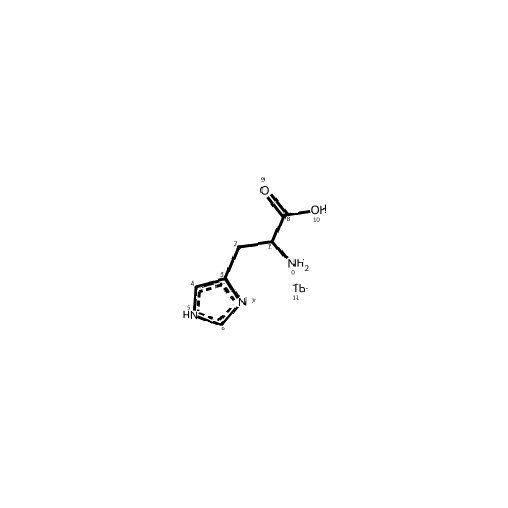 NC(Cc1c[nH]cn1)C(=O)O.[Tb]